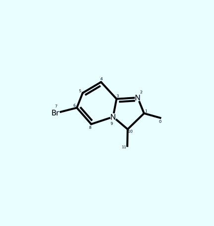 CC1N=C2C=CC(Br)=CN2C1C